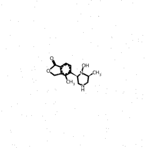 Cc1c([C@@H]2CNC[C@H](C)N2O)ccc2c1COC2=O